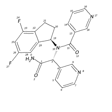 NC(=O)[C@@H](c1cccnc1)N(C(=O)c1cccnc1)[C@@H]1CCc2c(F)cc(F)cc21